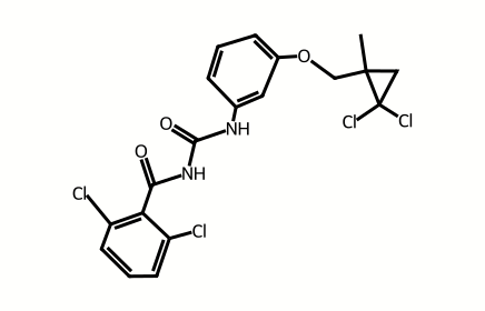 CC1(COc2cccc(NC(=O)NC(=O)c3c(Cl)cccc3Cl)c2)CC1(Cl)Cl